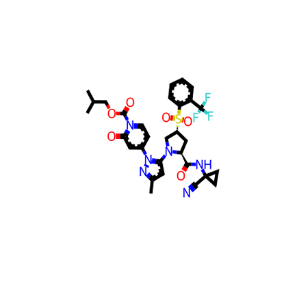 Cc1cc(N2C[C@H](S(=O)(=O)c3ccccc3C(F)(F)F)C[C@H]2C(=O)NC2(C#N)CC2)n(-c2ccn(C(=O)OCC(C)C)c(=O)c2)n1